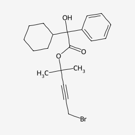 CC(C)(C#CCBr)OC(=O)C(O)(c1ccccc1)C1CCCCC1